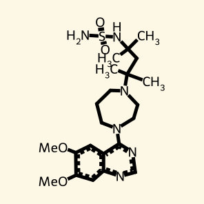 COc1cc2ncnc(N3CCCN(C(C)(C)CC(C)(C)NS(N)(=O)=O)CC3)c2cc1OC